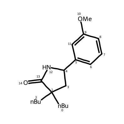 CCCCC1(CCCC)CC(c2cccc(OC)c2)NC1=O